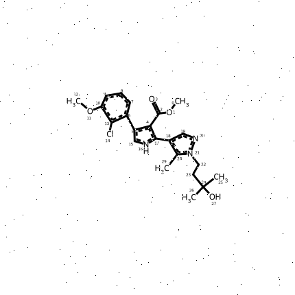 COC(=O)c1c(-c2cccc(OC)c2Cl)c[nH]c1-c1cnn(CCC(C)(C)O)c1C